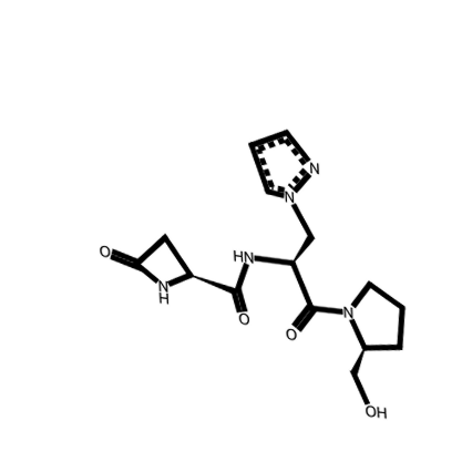 O=C1C[C@@H](C(=O)N[C@@H](Cn2cccn2)C(=O)N2CCC[C@H]2CO)N1